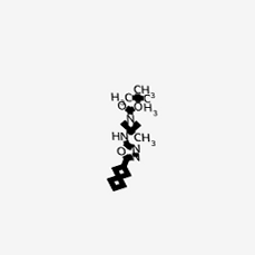 CC1(Nc2nnc(C3CC4(CCC4)C3)o2)CN(C(=O)OC(C)(C)C)C1